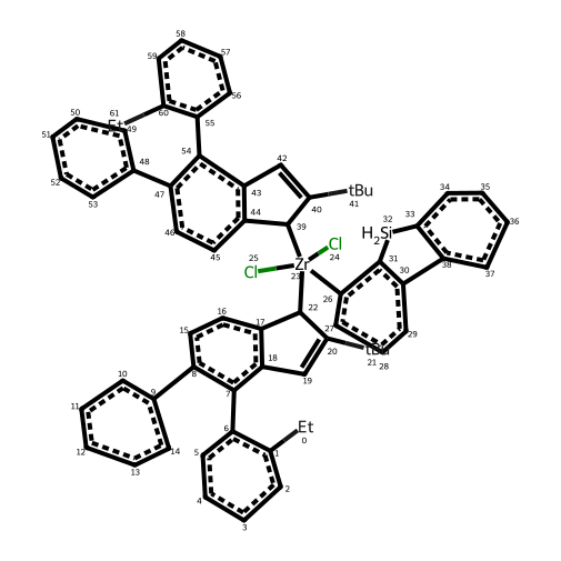 CCc1ccccc1-c1c(-c2ccccc2)ccc2c1C=C(C(C)(C)C)[CH]2[Zr]([Cl])([Cl])([c]1cccc2c1[SiH2]c1ccccc1-2)[CH]1C(C(C)(C)C)=Cc2c1ccc(-c1ccccc1)c2-c1ccccc1CC